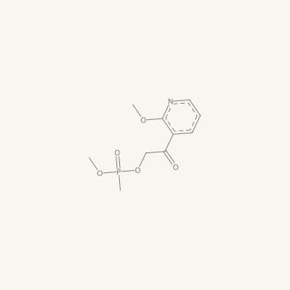 COc1ncccc1C(=O)COP(C)(=O)OC